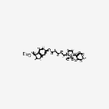 CCO/N=C1\CCc2cc(OCCCCCN3CCN(c4ccnnc4)S3(=O)=O)ccc21